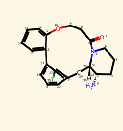 N[C@H]1CCCN2C(=O)CCOc3ccccc3-c3cccc(c3F)C[C@@H]12